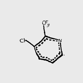 FC(F)(F)c1n[c]ccc1Cl